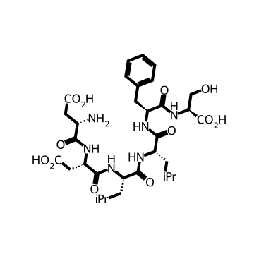 CC(C)C[C@H](NC(=O)[C@H](CC(C)C)NC(=O)[C@H](CC(=O)O)NC(=O)[C@@H](N)CC(=O)O)C(=O)N[C@@H](Cc1ccccc1)C(=O)N[C@@H](CO)C(=O)O